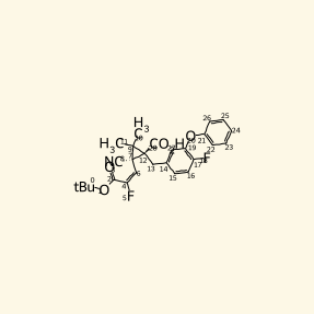 CC(C)(C)OC(=O)/C(F)=C\[C@@]1(C#N)C(C)(C)[C@@]1(Cc1ccc(F)c(Oc2ccccc2)c1)C(=O)O